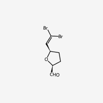 O=C[C@@H]1CC[C@H](C=C(Br)Br)O1